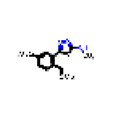 COCc1ccc(OC)cc1-c1nnc(NC(=O)O)s1